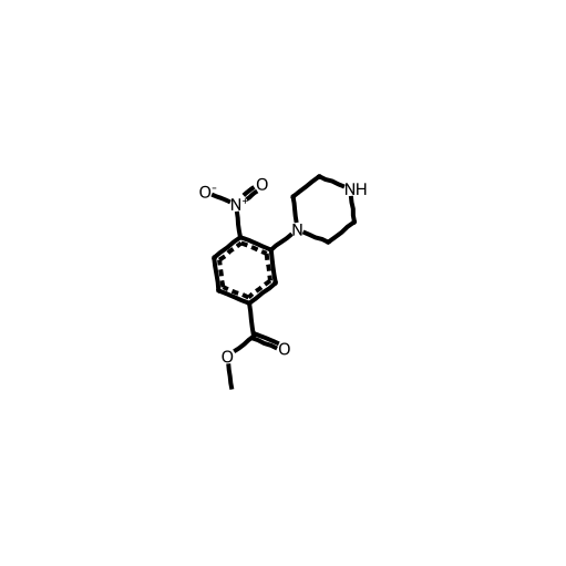 COC(=O)c1ccc([N+](=O)[O-])c(N2CCNCC2)c1